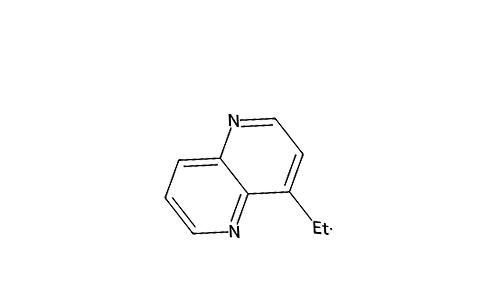 C[CH]c1ccnc2cccnc12